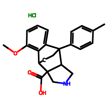 COc1cccc2c1C1CCC2(c2ccc(C)cc2)C2CNCC12C(=O)O.Cl